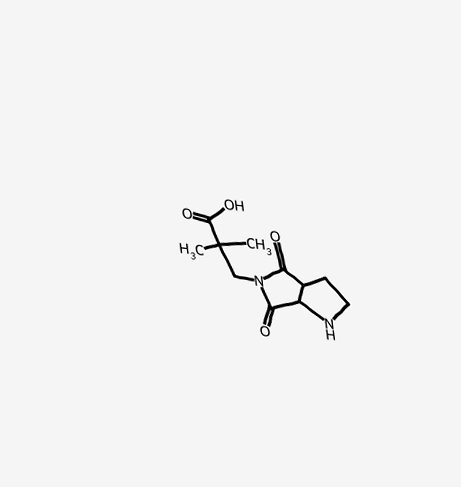 CC(C)(CN1C(=O)C2CCNC2C1=O)C(=O)O